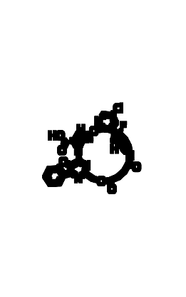 C[C@H]1CN2CC[C@]1(F)c1cc(Cl)cnc1O[C@H]1C[C@@H](C(=O)O)N(C1)c1nc(nc3c1oc1ccccc13)COC(=O)CCC2=O